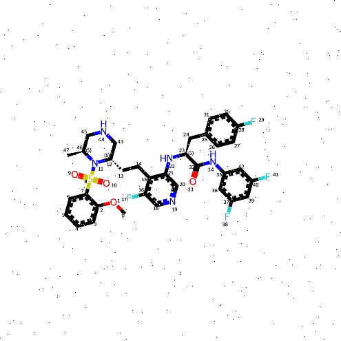 COc1ccccc1S(=O)(=O)N1[C@@H](CCc2c(F)cncc2N[C@@H](Cc2ccc(F)cc2)C(=O)Nc2cc(F)cc(F)c2)CNC[C@@H]1C